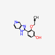 C#CCOc1cc(O)ccc1-c1nc2cnccc2[nH]1